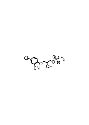 N#Cc1cc(Cl)ccc1OC[C@H](O)COS(=O)(=O)C(F)(F)F